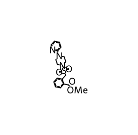 COC(=O)c1ccccc1CS(=O)(=O)N1CCN(c2ccccn2)CC1